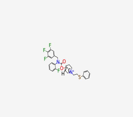 O=C(O[C@H]1C[N+]2(CCSc3ccccc3)CCC1CC2)N(Cc1cc(F)c(F)c(F)c1)c1ccccc1F